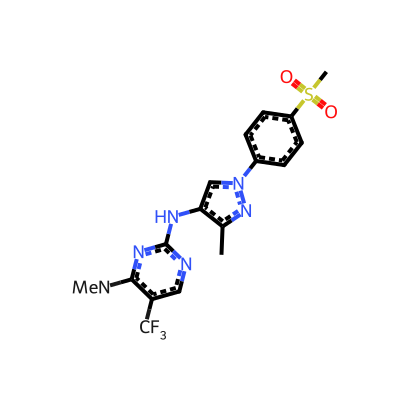 CNc1nc(Nc2cn(-c3ccc(S(C)(=O)=O)cc3)nc2C)ncc1C(F)(F)F